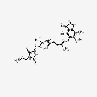 COc1c(C)c2c(c(O)c1C/C=C(\C)CCC(=O)NC(C)CSC1CC(=O)N(CCN)C1=O)C(=O)OC2